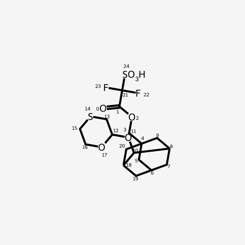 O=C(OCC12CC3CC(C1)C(OC1CSCCO1)C(C3)C2)C(F)(F)S(=O)(=O)O